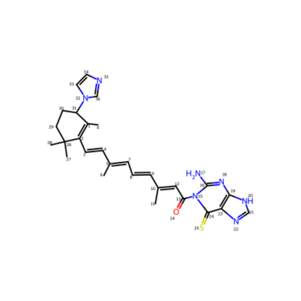 CC1=C(/C=C/C(C)=C/C=C/C(C)=C/C(=O)n2c(N)nc3[nH]cnc3c2=S)C(C)(C)CCC1n1ccnc1